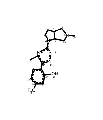 Cc1nc(N2CCC3CN(C)CC32)nnc1-c1ccc(C(F)(F)F)cc1O